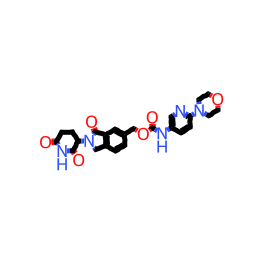 O=C1CCC(N2Cc3ccc(COC(=O)Nc4ccc(N5CCOCC5)nc4)cc3C2=O)C(=O)N1